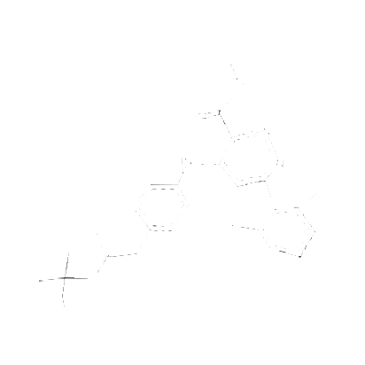 COC(=O)c1nnc(-c2c(F)cccc2F)cc1Nc1ccc(CC(=O)OC(C)(C)C)cc1